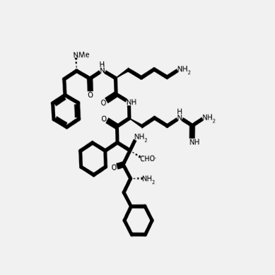 CN[C@@H](Cc1ccccc1)C(=O)N[C@@H](CCCCN)C(=O)N[C@@H](CCCNC(=N)N)C(=O)C(C1CCCCC1)[C@](N)([C]=O)C(=O)[C@H](N)CC1CCCCC1